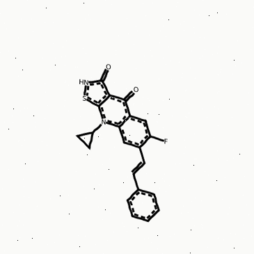 O=c1[nH]sc2c1c(=O)c1cc(F)c(C=Cc3ccccc3)cc1n2C1CC1